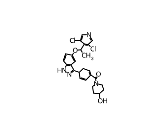 CC(Oc1ccc2[nH]nc(C3C=CC(C(=O)N4CCC(O)CC4)=CC3)c2c1)c1c(Cl)cncc1Cl